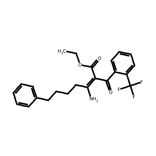 CCOC(=O)C(C(=O)c1ccccc1C(F)(F)F)=C(N)CCCCc1ccccc1